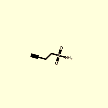 C#CCCS(N)(=O)=O